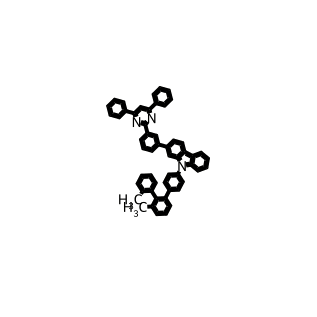 Cc1ccccc1-c1c(C)cccc1-c1ccc(-n2c3ccccc3c3ccc(-c4cccc(-c5nc(-c6ccccc6)cc(-c6ccccc6)n5)c4)cc32)cc1